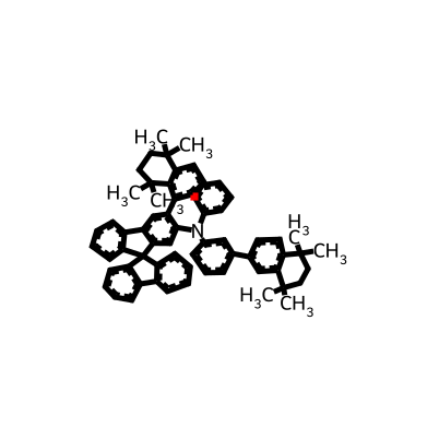 CC1(C)CCC(C)(C)c2cc(-c3cccc(N(c4ccccc4)c4cc5c(cc4-c4cccc6c4C(C)(C)CCC6(C)C)-c4ccccc4C54c5ccccc5-c5ccccc54)c3)ccc21